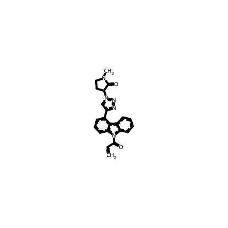 C=CC(=O)n1c2ccccc2c2c(-c3cn(C4CCN(C)C4=O)nn3)cccc21